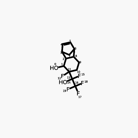 OC1C2C3C=CC(C3)C2CCC1(F)C(O)(F)C(F)(F)F